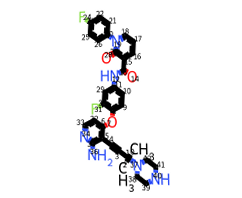 CC(C)(C#Cc1c(Oc2ccc(NC(=O)c3cccn(-c4ccc(F)cc4)c3=O)cc2F)ccnc1N)N1CCNCC1